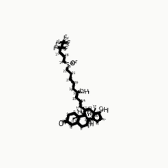 C[C@]12CCC(=O)CC1CC[C@@H]1[C@H]2C(CCCC(O)CCCCC[S+]([O-])CCCC(F)(F)C(F)(F)F)C[C@]2(C)C(O)CC[C@@H]12